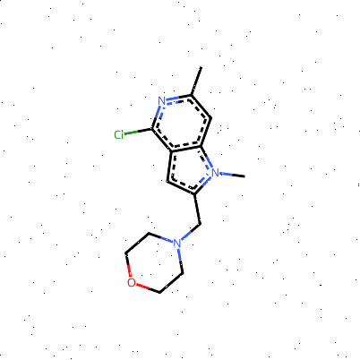 Cc1cc2c(cc(CN3CCOCC3)n2C)c(Cl)n1